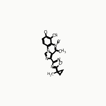 Cc1c2c(-c3noc(C4(C)CC4)n3)ncn2c2ccc(Cl)c(C#N)c2[n+]1[O-]